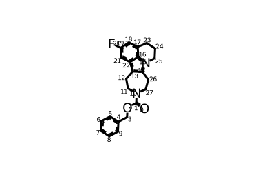 O=C(OCc1ccccc1)N1CCc2c(n3c4c(cc(F)cc24)CCC3)CC1